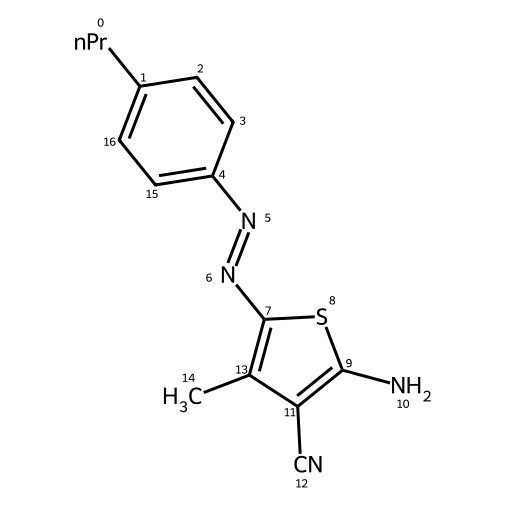 CCCc1ccc(N=Nc2sc(N)c(C#N)c2C)cc1